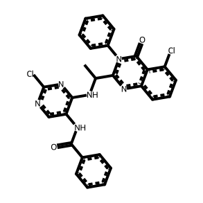 CC(Nc1nc(Cl)ncc1NC(=O)c1ccccc1)c1nc2cccc(Cl)c2c(=O)n1-c1ccccc1